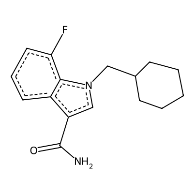 NC(=O)c1cn(CC2CCCCC2)c2c(F)cccc12